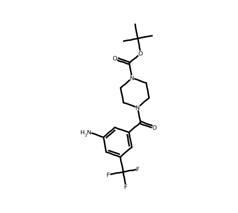 CC(C)(C)OC(=O)N1CCN(C(=O)c2cc(N)cc(C(F)(F)F)c2)CC1